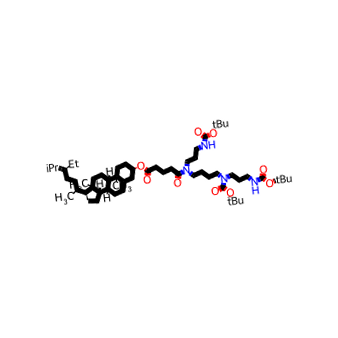 CC[C@H](CC[C@@H](C)[C@H]1CC[C@H]2[C@@H]3CC=C4C[C@@H](OC(=O)CCCC(=O)N(CCCCN(CCCNC(=O)OC(C)(C)C)C(=O)OC(C)(C)C)CCCNC(=O)OC(C)(C)C)CC[C@]4(C)[C@H]3CC[C@]12C)C(C)C